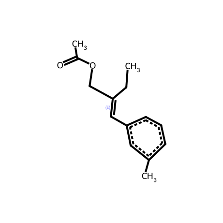 CC/C(=C\c1cccc(C)c1)COC(C)=O